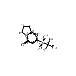 O=c1cc(S(=O)(=O)C(F)(F)F)nc2n1CCC2